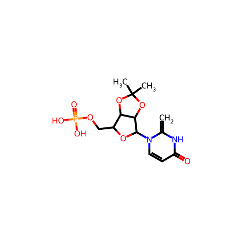 C=C1NC(=O)C=CN1C1OC(COP(=O)(O)O)C2OC(C)(C)OC21